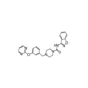 O=C(Nc1noc2ccccc12)N1CCN(Cc2cccc(Oc3ncccn3)c2)CC1